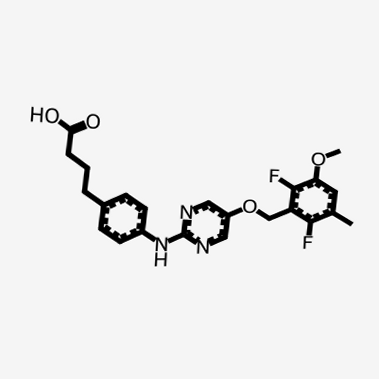 COc1cc(C)c(F)c(COc2cnc(Nc3ccc(CCCC(=O)O)cc3)nc2)c1F